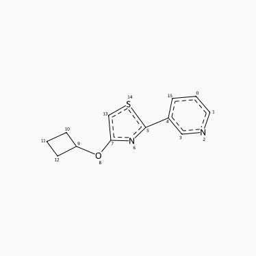 c1cncc(-c2nc(OC3CCC3)cs2)c1